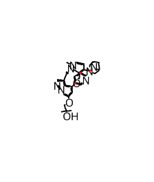 CN1C=CC(CN2C3CC2CN(c2ccc(-c4cc(OCC(C)(C)O)cn5ncc(C#N)c45)cn2)C3)=C(C=O)C1